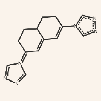 C1=NN=C[N+]1=C1C=C2C=C(n3cnnc3)CCC2CC1